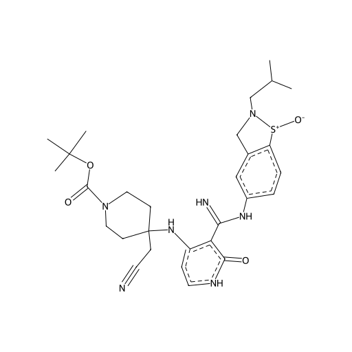 CC(C)CN1Cc2cc(NC(=N)c3c(NC4(CC#N)CCN(C(=O)OC(C)(C)C)CC4)cc[nH]c3=O)ccc2[S+]1[O-]